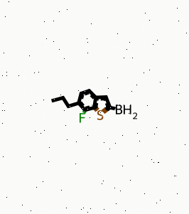 Bc1cc2ccc(CCC)c(F)c2s1